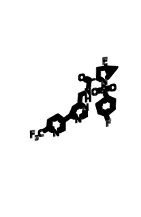 O=C(NCc1cc(-c2ccc(C(F)(F)F)nc2)ncn1)[C@@H]1C[C@]2(F)CC2N1S(=O)(=O)c1ccc(F)cc1